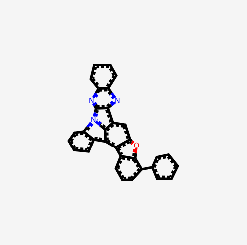 c1ccc(-c2cccc3c2oc2cc4c5nc6ccccc6nc5n5c6ccccc6c(c23)c45)cc1